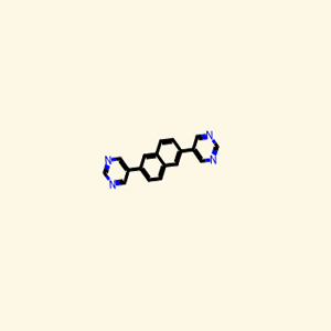 c1ncc(-c2ccc3cc(-c4cncnc4)ccc3c2)cn1